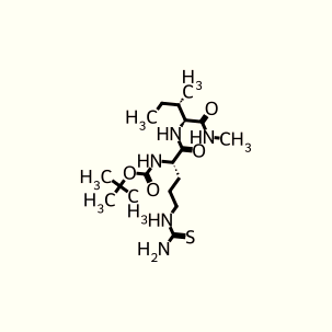 CC[C@H](C)[C@H](NC(=O)[C@H](CCCNC(N)=S)NC(=O)OC(C)(C)C)C(=O)NC